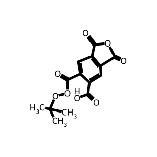 CC(C)(C)OOC(=O)c1cc2c(cc1C(=O)O)C(=O)OC2=O